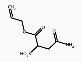 C=CCOC(=O)C(CC(N)=O)S(=O)(=O)O